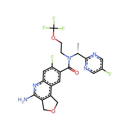 C[C@H](c1ncc(F)cn1)N(CCOC(F)(F)F)C(=O)c1cc2c3c(c(N)nc2cc1F)COC3